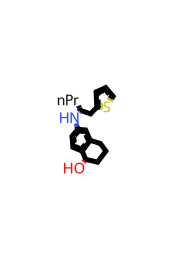 CCCC(Cc1cccs1)Nc1ccc2c(c1)CCCC2O